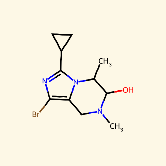 CC1C(O)N(C)Cc2c(Br)nc(C3CC3)n21